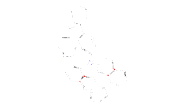 c1ccc(-c2cccc3cccc(-c4ccccc4N(c4ccc(C56CC7CC(CC(C7)C5)C6)cc4)c4cccc5sc6ccccc6c45)c23)cc1